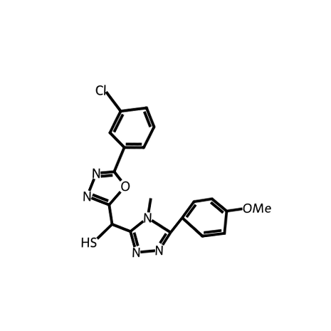 COc1ccc(-c2nnc(C(S)c3nnc(-c4cccc(Cl)c4)o3)n2C)cc1